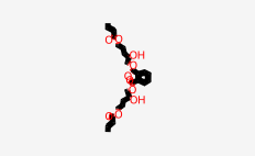 CC=CC(=O)OCCCC(O)COC(=O)c1ccccc1C(=O)OCC(O)CCCOC(=O)C=CC